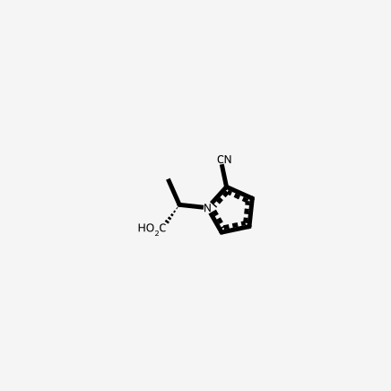 C[C@@H](C(=O)O)n1cccc1C#N